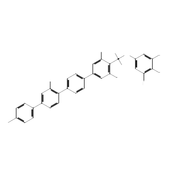 Cc1ccc(-c2ccc(-c3ccc(-c4cc(F)c(C(F)(F)Oc5cc(F)c(F)c(F)c5)c(F)c4)cc3)c(F)c2)cc1